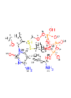 CO[C@H](C(C)[SH](COOP(=O)(O)OP(=O)(O)OP(=O)(O)O)SC(C)(C)C)n1cc(C#CCN)c(N)nc1=O